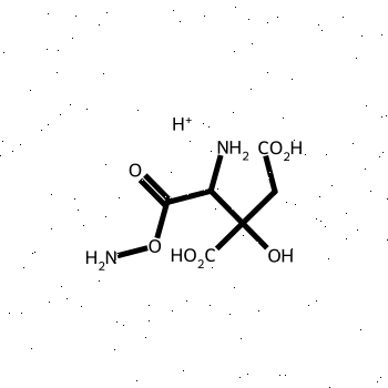 NOC(=O)C(N)C(O)(CC(=O)O)C(=O)O.[H+]